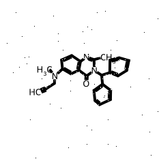 C#CCN(C)c1ccc2nc(C)n(C(c3ccccc3)c3ccccc3)c(=O)c2c1